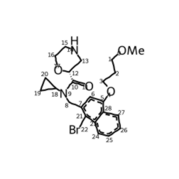 COCCCOc1cc(CN(C(=O)[C@H]2CNCCO2)C2CC2)c(Br)c2ccccc12